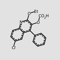 CCOc1nc2ccc(Cl)cc2c(-c2ccccc2)c1OC(=O)O